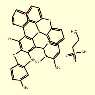 CCCCC1=CC=NC(c2c3c(c(CC)c(-c4ncccn4)c2N2c4ccccc4Oc4ccccc42)Oc2ccc(CCCC)cc2N3)N1CCCC.CCCS(=O)(=O)O